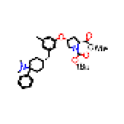 COC(=O)[C@@H]1C[C@H](Oc2cc(C)cc(C[C@H]3CC[C@](c4ccccc4)(N(C)C)CC3)c2)CN1C(=O)OC(C)(C)C